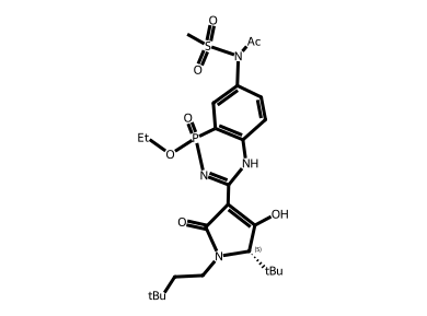 CCOP1(=O)N=C(C2=C(O)[C@H](C(C)(C)C)N(CCC(C)(C)C)C2=O)Nc2ccc(N(C(C)=O)S(C)(=O)=O)cc21